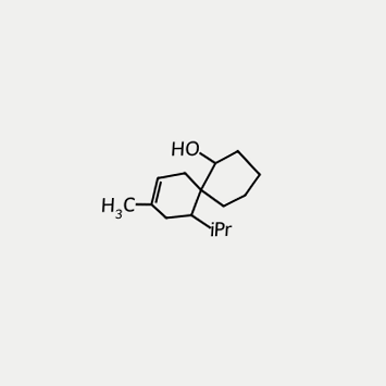 CC1=CCC2(CCCCC2O)C(C(C)C)C1